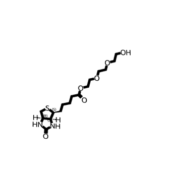 O=C1N[C@H]2[C@H](CS[C@H]2CCCCC(=O)OCCOCCOCCO)N1